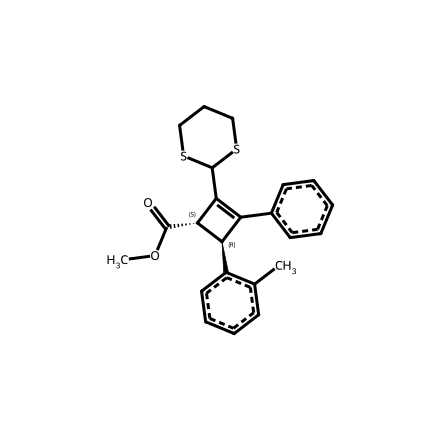 COC(=O)[C@@H]1C(C2SCCCS2)=C(c2ccccc2)[C@H]1c1ccccc1C